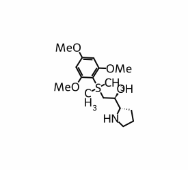 COc1cc(OC)c(S(C)(C)C[C@@H](O)[C@@H]2CCCN2)c(OC)c1